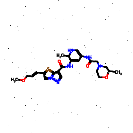 COC/C=C/c1cn2ncc(C(=O)NC3=CC(NC(=O)CN4CCOC(C)C4)=CNC3C)c2s1